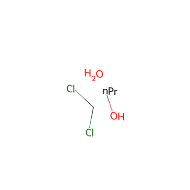 CCCO.ClCCl.O